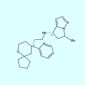 CC(C)(C)C1C[C@H](NCC[C@@]2(c3ccccn3)CCOC3(CCCC3)C2)c2ccnn21